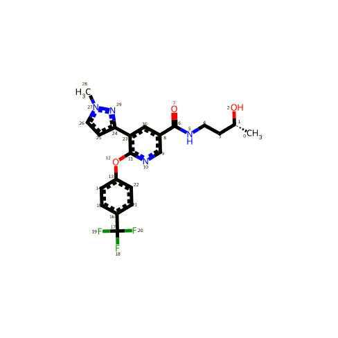 C[C@@H](O)CCNC(=O)c1cnc(Oc2ccc(C(F)(F)F)cc2)c(-c2ccn(C)n2)c1